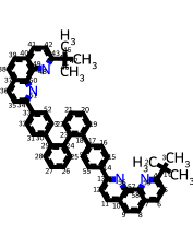 CC(C)(C)c1ccc2ccc3ccc(-c4ccc(-c5ccccc5-c5ccccc5-c5ccc(-c6ccc7ccc8ccc(C(C)(C)C)nc8c7n6)cc5)cc4)nc3c2n1